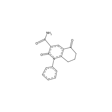 NC(=O)c1cc2c(n(-c3ccccc3)c1=O)CCCC2=O